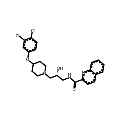 O=C(NC[C@@H](O)CN1CCC(Oc2ccc(Cl)c(Cl)c2)CC1)c1ccc2ccccc2n1